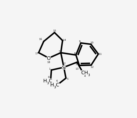 CC[Si](CC)(CC)C1(c2ccccc2)CCCCO1